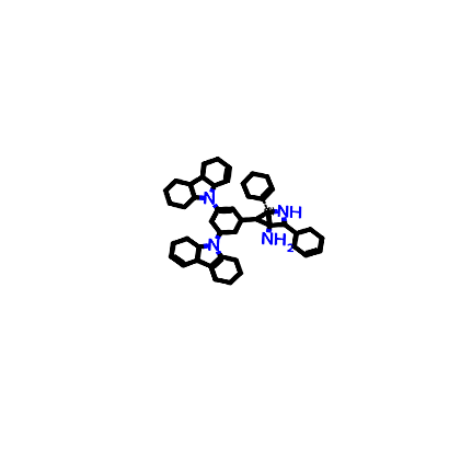 NC12C(C3CC=CCC3)N[C@]1(C1=CCCCC1)C2C1C=C(N2C3C=CCCC3C3CCCCC32)CC(N2C3=C(CCCC3)C3C=CCCC32)C1